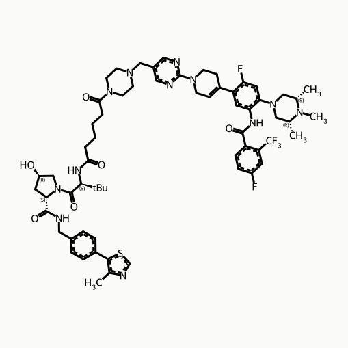 Cc1ncsc1-c1ccc(CNC(=O)[C@@H]2C[C@@H](O)CN2C(=O)[C@@H](NC(=O)CCCCC(=O)N2CCN(Cc3cnc(N4CC=C(c5cc(NC(=O)c6ccc(F)cc6C(F)(F)F)c(N6C[C@@H](C)N(C)[C@@H](C)C6)cc5F)CC4)nc3)CC2)C(C)(C)C)cc1